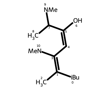 CCC(C)/C(C)=C(\C=C(\O)C(C)NC)NC